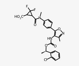 Cc1noc(-c2ccc(N(C)C(=O)C3C(C(=O)O)C3(F)F)cc2)c1NC(=O)O[C@H](C)c1ccccc1Cl